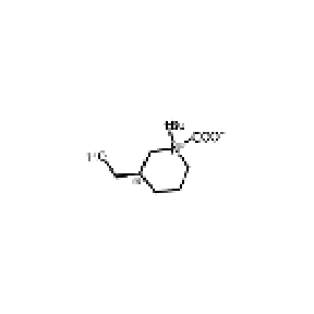 CC(C)(C)[N+]1(C(=O)[O-])CCC[C@@H](CO)C1